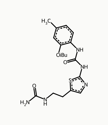 Cc1ccc(NC(=O)Nc2ncc(CCNC(N)=O)s2)c(OCC(C)C)c1